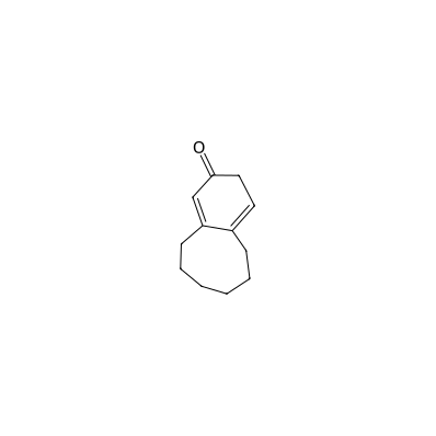 O=C1C=C2CCCCCCC2=CC1